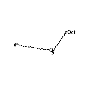 CCCCCCCCC=CCCCCCCCCCCCCCC(=O)OCCCCCCCCCCCCCCCCCCCCCC(C)C